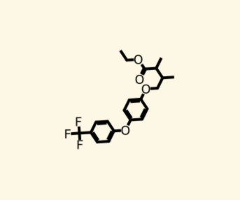 CCOC(=O)C(C)C(C)COc1ccc(Oc2ccc(C(F)(F)F)cc2)cc1